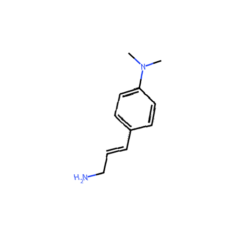 CN(C)c1ccc(C=CCN)cc1